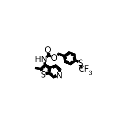 Cc1sc2cnccc2c1NC(=O)OCc1ccc(SC(F)(F)F)cc1